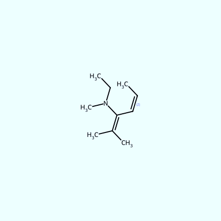 C/C=C\C(=C(C)C)N(C)CC